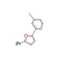 Cc1cccc(-c2ccc(C(C)C)o2)c1